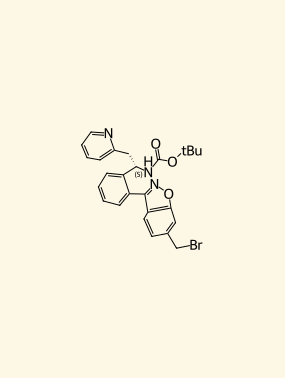 CC(C)(C)OC(=O)N[C@@H](Cc1ccccn1)c1ccccc1-c1noc2cc(CBr)ccc12